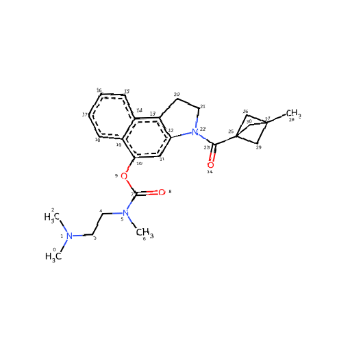 CN(C)CCN(C)C(=O)Oc1cc2c(c3ccccc13)CCN2C(=O)C12CC(C)(C1)C2